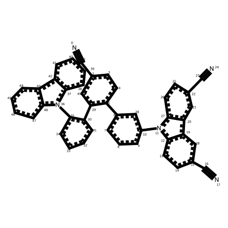 N#Cc1ccc(-c2cccc(-n3c4ccc(C#N)cc4c4cc(C#N)ccc43)c2)c(-c2ccccc2-n2c3ccccc3c3ccccc32)c1